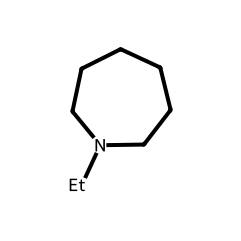 [CH2]CN1CCCCCC1